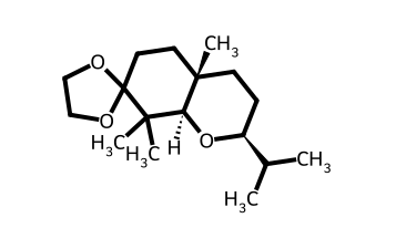 CC(C)[C@@H]1CC[C@@]2(C)CCC3(OCCO3)C(C)(C)[C@@H]2O1